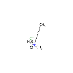 CCCCCCCCCCCCCCCC[N+](CCC)(CCC)c1ccccc1.[Cl-]